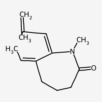 C=C(C)/C=C1\C(=C/C)CCCC(=O)N1C